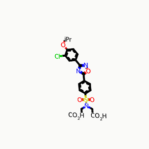 CC(C)Oc1ccc(-c2noc(-c3ccc(S(=O)(=O)N(CC(=O)O)CC(=O)O)cc3)n2)cc1Cl